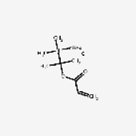 C=CC(=O)OC(C)(C)[N+](C)(C)CCCCCC.[Cl-]